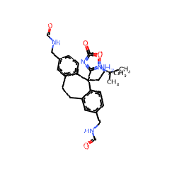 CC(C)n1oc(=O)nc1C1(C[C@@H](C)N)c2ccc(CNC=O)cc2CCc2cc(CNC=O)ccc21